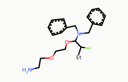 CCC(F)C(OCCOCCN)N(Cc1ccccc1)Cc1ccccc1